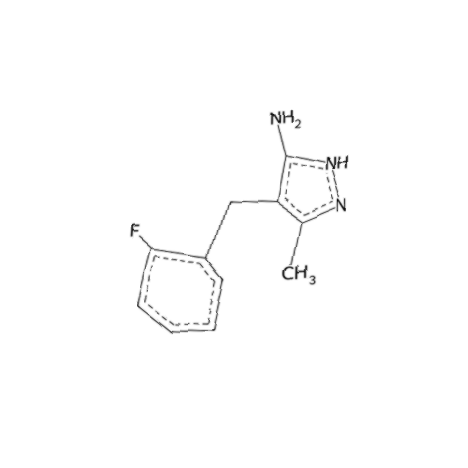 Cc1n[nH]c(N)c1Cc1ccccc1F